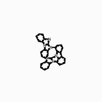 c1ccc2c(c1)nc1n(-c3cccc4c5cccc6c5n(c34)c3nc4ccccc4n63)c3ccccc3n21